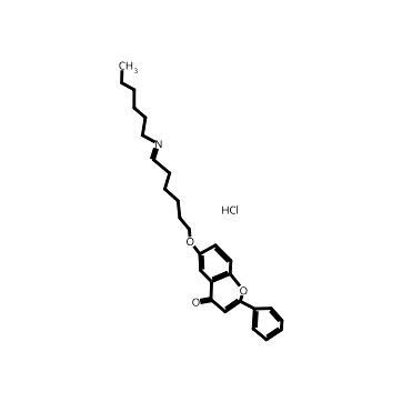 CCCCCCN=CCCCCCOc1ccc2oc(-c3ccccc3)cc(=O)c2c1.Cl